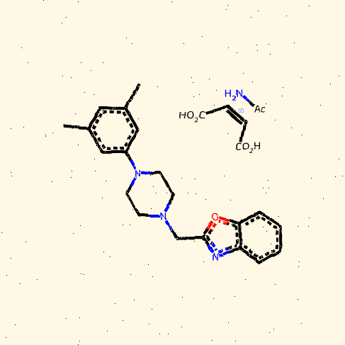 CC(N)=O.Cc1cc(C)cc(N2CCN(Cc3nc4ccccc4o3)CC2)c1.O=C(O)/C=C\C(=O)O